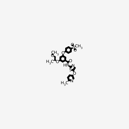 COC[C@H](C)Oc1cc(Oc2ccc(S(C)(=O)=O)cc2)cc(C(=O)Nc2ncc(Oc3ccc(C)nc3)s2)c1